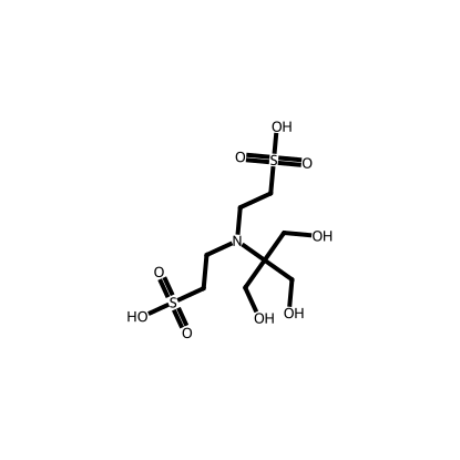 O=S(=O)(O)CCN(CCS(=O)(=O)O)C(CO)(CO)CO